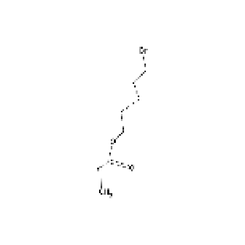 COC(=O)OCCCCCBr